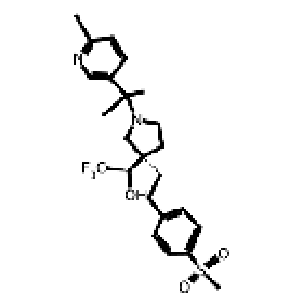 Cc1ccc(C(C)(C)N2CC[C@@](CCc3ccc(S(C)(=O)=O)cc3)([C@@H](O)C(F)(F)F)C2)cn1